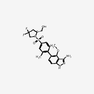 COc1c(-c2ccc(S(=O)(=O)N3CC(F)(F)C[C@H]3CO)cc2C)ccc2[nH]nc(N)c12